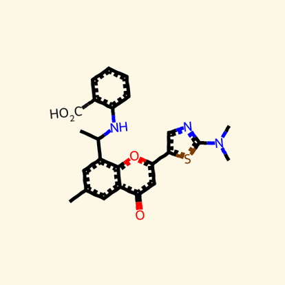 Cc1cc(C(C)Nc2ccccc2C(=O)O)c2oc(-c3cnc(N(C)C)s3)cc(=O)c2c1